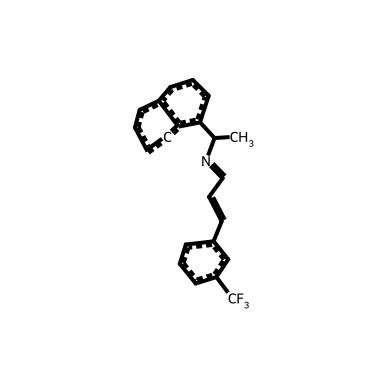 CC(/N=C/C=C/c1cccc(C(F)(F)F)c1)c1cccc2ccccc12